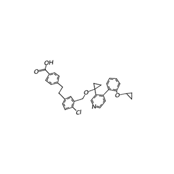 O=C(O)c1ccc(CCc2ccc(Cl)c(COC3(c4cnccc4-c4ccccc4OC4CC4)CC3)c2)cc1